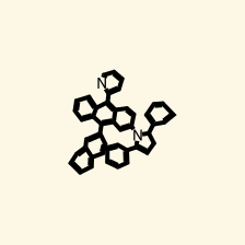 C1=C(c2ccccc2)N(c2ccc3c(-c4ccccn4)c4ccccc4c(-c4ccc5ccccc5c4)c3c2)C(c2ccccc2)C1